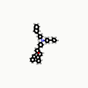 C1=C(c2ccc(-c3ccc(N(c4ccc(-c5ccccc5)cc4)c4ccc(-c5ccc6ccccc6c5)cc4)cc3)cc2)C2(c3ccccc31)c1ccccc1-c1ccccc12